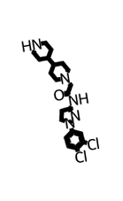 O=C(CN1CCC(C2CCNCC2)CC1)NC1=NN(c2ccc(Cl)c(Cl)c2)CC1